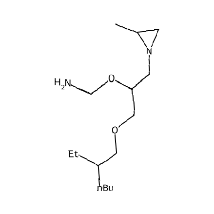 CCCCC(CC)COCC(CN1CC1C)OCN